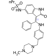 CCCS(=O)(=O)Nc1ccc2c(c1)/C(=C(/Nc1ccc(CN3CCN(C)CC3)cc1)c1ccccc1)C(=O)N2